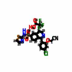 N#CCOc1cc(Cl)ccc1-c1nccc2cc(S(=O)(=O)Nc3nccs3)ccc12.O=C(O)C(F)(F)F